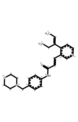 C/C=C(\CN)c1ccncc1/C=C/C(=O)Nc1ccc(CN2CCOCC2)cc1